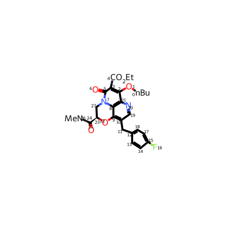 CCCCOc1c(C(=O)OCC)c(=O)n2c3c(c(Cc4ccc(F)cc4)cnc13)O[C@@H](C(=O)NC)C2